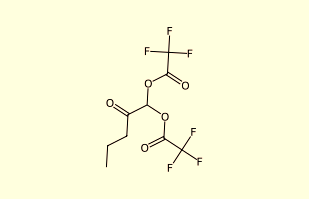 CCCC(=O)C(OC(=O)C(F)(F)F)OC(=O)C(F)(F)F